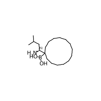 CC(C)C[C@H](N)C1(B(O)O)CCCCCCCCCCCCC1